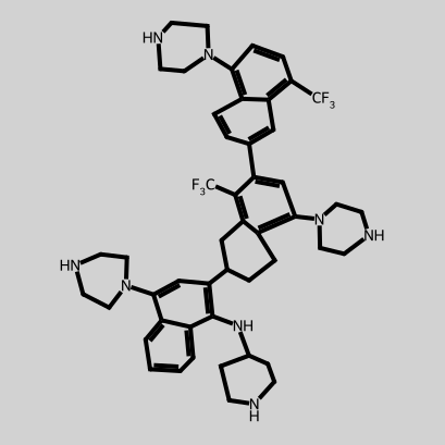 FC(F)(F)c1c(-c2ccc3c(N4CCNCC4)ccc(C(F)(F)F)c3c2)cc(N2CCNCC2)c2c1CC(c1cc(N3CCNCC3)c3ccccc3c1NC1CCNCC1)CC2